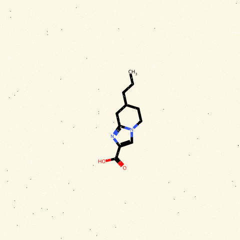 CCCC1CCn2cc(C(=O)O)nc2C1